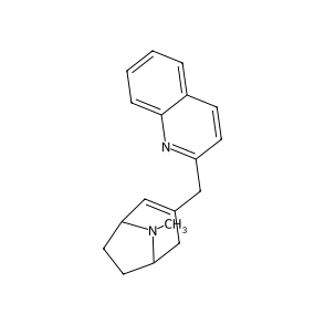 CN1C2C=C(Cc3ccc4ccccc4n3)CC1CC2